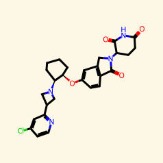 O=C1CCC(N2Cc3cc(O[C@@H]4CCCC[C@@H]4N4CC(c5cc(Cl)ccn5)C4)ccc3C2=O)C(=O)N1